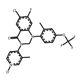 Cc1c[n+]([O-])ccc1N1CN(c2ccc(OC(F)(F)F)cc2C)c2cc(F)c(Cl)cc2C1=O